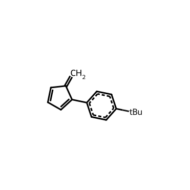 C=C1C=CC=C1c1ccc(C(C)(C)C)cc1